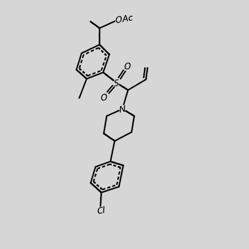 C=CC(N1CCC(c2ccc(Cl)cc2)CC1)S(=O)(=O)c1cc(C(C)OC(C)=O)ccc1C